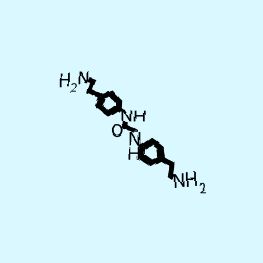 NCCc1ccc(NCC(=O)Nc2ccc(CCN)cc2)cc1